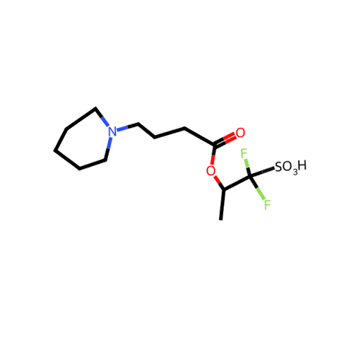 CC(OC(=O)CCCN1CCCCC1)C(F)(F)S(=O)(=O)O